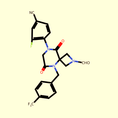 N#Cc1ccc(N2CC(=O)N(Cc3ccc(C(F)(F)F)cc3)C3(CN(C=O)C3)C2=O)c(F)c1